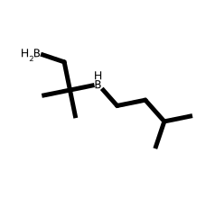 BCC(C)(C)BCCC(C)C